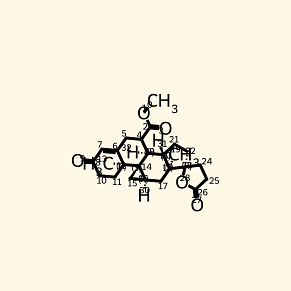 COC(=O)C1CC2=CC(=O)CC[C@]2(C)[C@@]23C[C@@H]2C[C@@]2(C)[C@@H](CC[C@@]24CCC(=O)O4)[C@H]13